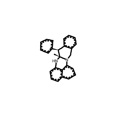 C[C@]12Nc3cccc4cccc(c34)N1Cc1ccccc1[C@@H]2c1ccccc1